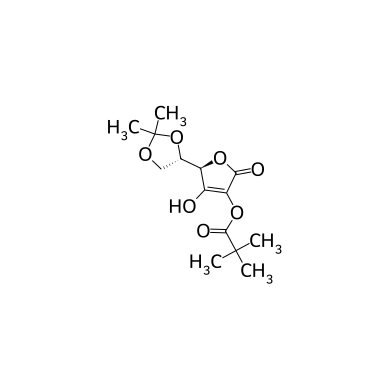 CC1(C)OC[C@@H]([C@H]2OC(=O)C(OC(=O)C(C)(C)C)=C2O)O1